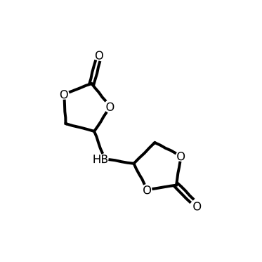 O=C1OCC(BC2COC(=O)O2)O1